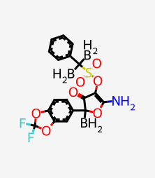 BC1(c2ccc3c(c2)OC(F)(F)O3)OC(N)=C(OS(=O)(=O)C(B)(B)c2ccccc2)C1=O